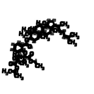 CCOC(=O)P(=O)(NC(C)(C)C(=O)OC(C)C)Oc1ccccc1C(=O)O[C@H]1CC[C@]2(C)C3=C(CC[C@H]2C1(C)C)[C@]1(C)CC[C@H]([C@H](C)CCC=C(C)C)[C@@]1(C)CC3